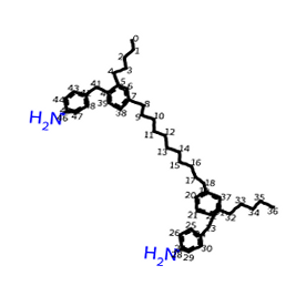 CCCCCc1cc(CCCCCCCCCCCc2ccc(Cc3ccc(N)cc3)c(CCCCC)c2)ccc1Cc1ccc(N)cc1